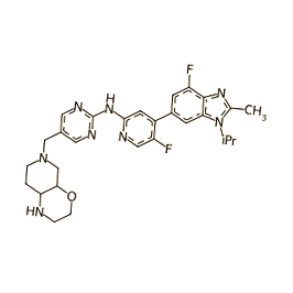 Cc1nc2c(F)cc(-c3cc(Nc4ncc(CN5CCC6NCCOC6C5)cn4)ncc3F)cc2n1C(C)C